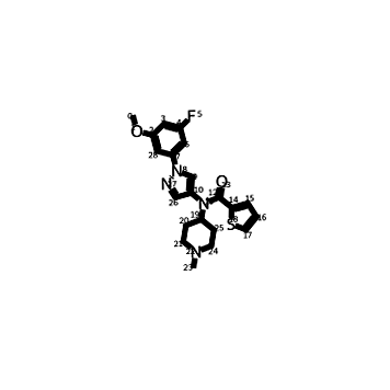 COc1cc(F)cc(-n2cc(N(C(=O)c3cccs3)C3CCN(C)CC3)cn2)c1